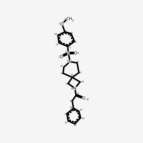 COc1ccc(S(=O)(=O)N2CCC3(CC2)CN(C(=O)Cc2ccccc2)C3)cc1